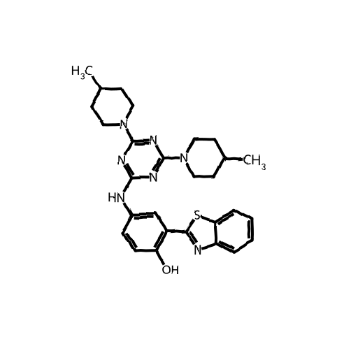 CC1CCN(c2nc(Nc3ccc(O)c(-c4nc5ccccc5s4)c3)nc(N3CCC(C)CC3)n2)CC1